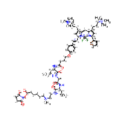 CN(CCCCCC(=O)ON1C(=O)CCC1=O)CCNC(=O)C(CS(=O)(=O)O)NC(=O)CNC(=O)C(CS(=O)(=O)O)NC(=O)CCCOc1ccc(/C=C/C2=[N+]3C(=Cc4c(CCC[N+](C)(C)C)cc(-c5cccs5)n4[B-]3(F)F)C(CCC[N+](C)(C)C)=C2)cc1